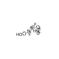 C[SH]1(=O)Cc2ccc(F)c(C3CC(c4csc(-c5ccc(O)cc5)n4)=NO3)c2N1